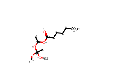 CCOC(C)(OCC)OC(C)OC(=O)CCCCC(=O)O